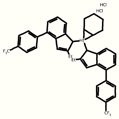 CCC1=Cc2c(-c3ccc(C(F)(F)F)cc3)cccc2[CH]1[Hf]1([CH]2C(CC)=Cc3c(-c4ccc(C(F)(F)F)cc4)cccc32)[CH]2CCCC[CH]21.Cl.Cl